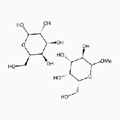 COC1O[C@H](CO)[C@H](O)[C@H](O)[C@H]1O.OC[C@H]1OC(O)[C@H](O)[C@@H](O)[C@H]1O